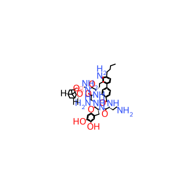 CCCCc1ccc(-c2ccc(C(=O)N[C@@H](CCN)C(=O)N[C@@H](Cc3ccc(O)c(O)c3)C(=O)N[C@@H](N)C(=O)N[C@@H](CCCCN)C(=O)N[C@@H](N)B3OC4C[C@@H]5C[C@@H](C5(C)C)[C@]4(C)O3)cc2)cc1